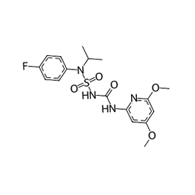 COc1cc(NC(=O)NS(=O)(=O)N(c2ccc(F)cc2)C(C)C)nc(OC)c1